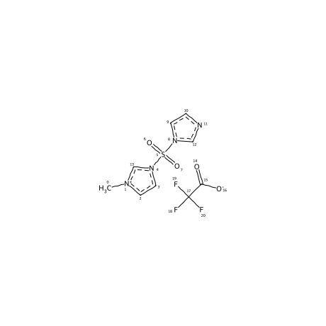 C[n+]1ccn(S(=O)(=O)n2ccnc2)c1.O=C([O-])C(F)(F)F